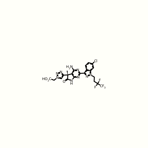 C[C@]1(c2cn(CC(=O)O)nn2)C(=O)Nc2nc(-c3nn(CCC(F)(F)C(F)(F)F)c4cc(Cl)ccc34)nc(N)c21